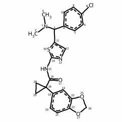 CN(C)C(c1ccc(Cl)cc1)c1cnc(NC(=O)C2(c3ccc4c(c3)OCO4)CC2)s1